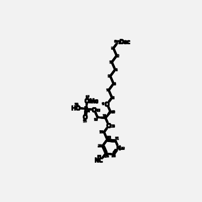 CCCCCCCCCCCCCCCCCCOC[C@H](COP(=O)(O)OC)OCc1cncc(C#N)c1